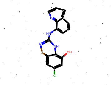 Oc1cc(Cl)cc2c1NC(Nc1cccc3cccnc13)=NS2